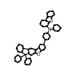 c1ccc(N(c2ccc(-c3ccc4oc5cc6c(cc5c4c3)-c3ccccc3C6(c3ccccc3)c3ccccc3)cc2)c2cccc3c2sc2ccccc23)cc1